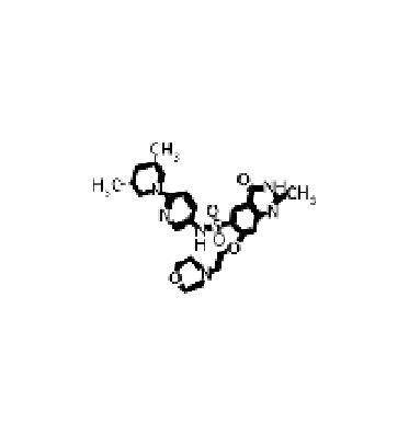 Cc1nc2cc(OCCN3CCOCC3)c(S(=O)(=O)Nc3ccc(N4C[C@H](C)C[C@@H](C)C4)nc3)cc2c(=O)[nH]1